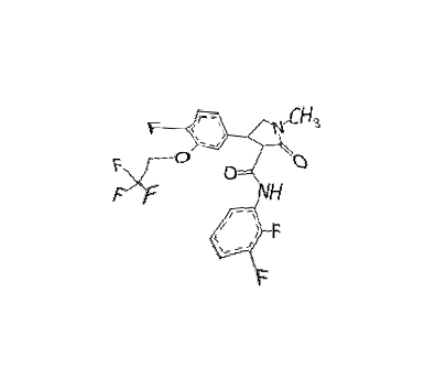 CN1CC(c2ccc(F)c(OCC(F)(F)F)c2)C(C(=O)Nc2cccc(F)c2F)C1=O